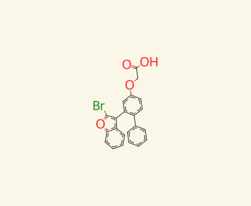 O=C(O)COc1ccc(-c2ccccc2)c(-c2c(Br)oc3ccccc23)c1